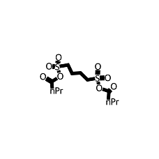 CCCC(=O)OS(=O)(=O)CCCCS(=O)(=O)OC(=O)CCC